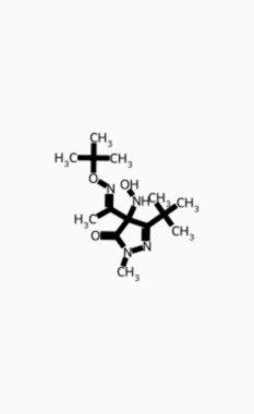 C/C(=N\OC(C)(C)C)C1(NO)C(=O)N(C)N=C1C(C)(C)C